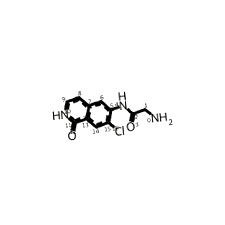 NCC(=O)Nc1cc2cc[nH]c(=O)c2cc1Cl